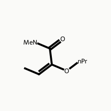 CC=C(OCCC)C(=O)NC